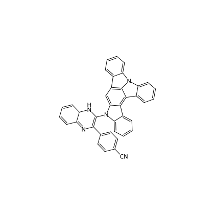 N#Cc1ccc(C2=C(n3c4ccccc4c4c5c6ccccc6n6c7ccccc7c(cc43)c56)NC3C=CC=CC3=N2)cc1